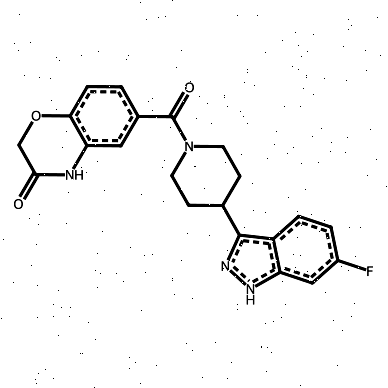 O=C1COc2ccc(C(=O)N3CCC(c4n[nH]c5cc(F)ccc45)CC3)cc2N1